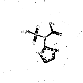 NC(=O)N(c1ncc[nH]1)S(N)(=O)=O